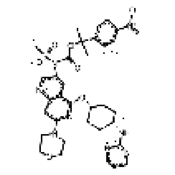 C=[N+]([O-])c1ccc(C(C)(C)OC(=O)N(c2cnc3cc(N4CCOCC4)nc(O[C@H]4CC[C@@H](Nc5ncccn5)CC4)c3c2)S(C)(=O)=O)cc1